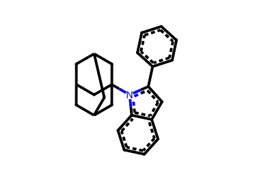 c1ccc(-c2cc3ccccc3n2C23CC4CC(CC(C4)C2)C3)cc1